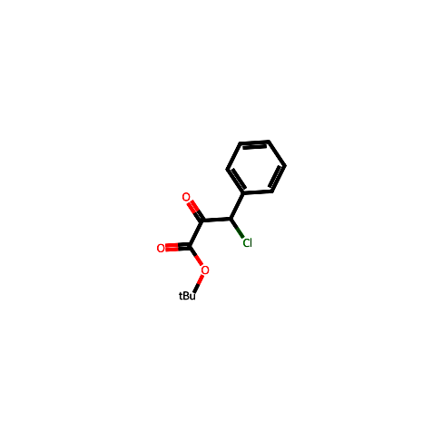 CC(C)(C)OC(=O)C(=O)C(Cl)c1ccccc1